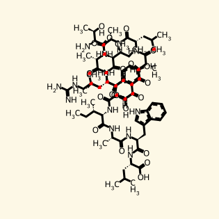 CC[C@H](C)[C@H](NC(=O)[C@H](Cc1ccccc1)NC(=O)[C@H](CC(=O)O)NC(=O)[C@H](CCCNC(=N)N)NC(=O)[C@H](C)NC(=O)[C@H](C)NC(=O)[C@H](CC(C)C)NC(=O)[C@H](C)NC(=O)[C@H](CC(=O)O)NC(=O)[C@H](CC(C)C)NC(=O)[C@@H](NC(=O)[C@@H](N)[C@@H](C)O)[C@@H](C)CC)C(=O)N[C@@H](C)C(=O)N[C@@H](Cc1c[nH]c2ccccc12)C(=O)N[C@@H](CC(C)C)C(=O)O